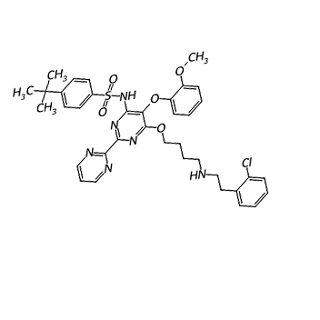 COc1ccccc1Oc1c(NS(=O)(=O)c2ccc(C(C)(C)C)cc2)nc(-c2ncccn2)nc1OCCCCNCCc1ccccc1Cl